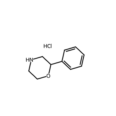 Cl.c1ccc(C2CNCCO2)cc1